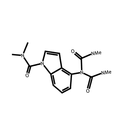 CNC(=O)N(C(=O)NC)c1cccc2c1ccn2C(=O)N(C)C